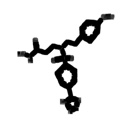 COc1ccc(CCN(CCC(=O)NO)S(=O)(=O)c2ccc(-c3nnn[nH]3)cc2)cc1